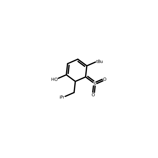 CC(C)CC1C(O)=CC=C(C(C)(C)C)C1=S(=O)=O